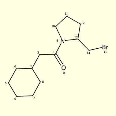 O=C(CC1CCCCC1)N1CCCC1CBr